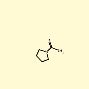 BC(=O)N1CCCC1